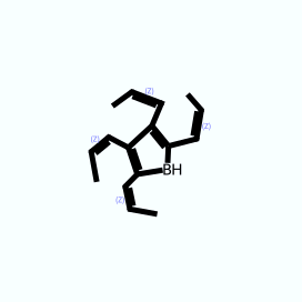 C/C=C\C1=C(/C=C\C)C(/C=C\C)=C(/C=C\C)B1